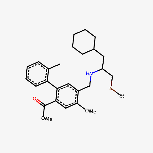 CCSCC(CC1CCCCC1)NCc1cc(-c2ccccc2C)c(C(=O)OC)cc1OC